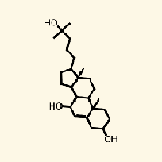 CC(C)(O)CCCC1CCC2C3C(O)C=C4CC(O)CCC4(C)C3CCC12C